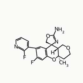 C[C@@]12CCOC[C@H]1[C@]1(COC(N)=N1)c1cc(-c3cccnc3F)c(F)cc1O2